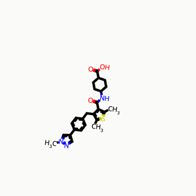 Cc1sc(C)c(C(=O)NC2CCC(C(=O)O)CC2)c1Cc1ccc(-c2cnn(C)c2)cc1